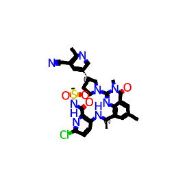 Cc1cc([C@@H](C)Nc2ccc(Cl)nc2C(=O)NS(C)(=O)=O)c2nc(N3CC[C@H](c4cnc(C)c(C#N)c4)C3)n(C)c(=O)c2c1